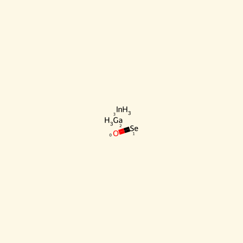 O=[Se].[GaH3].[InH3]